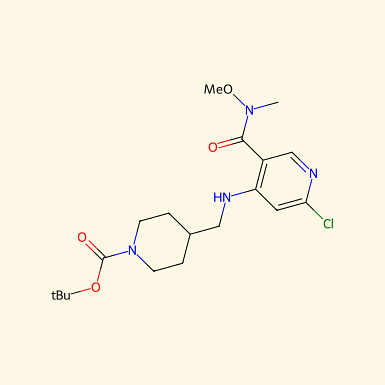 CON(C)C(=O)c1cnc(Cl)cc1NCC1CCN(C(=O)OC(C)(C)C)CC1